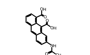 CC(=O)Nc1ccc2cc3cccc(C(=O)O)c3c(C(=O)O)c2c1